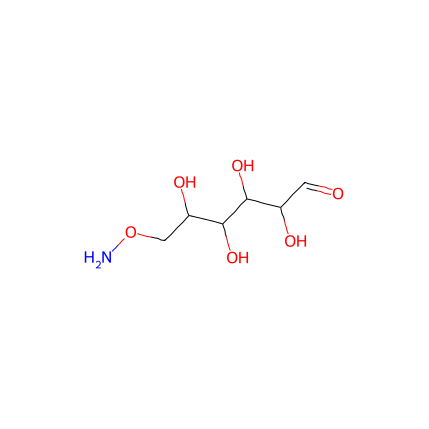 NOCC(O)C(O)C(O)C(O)C=O